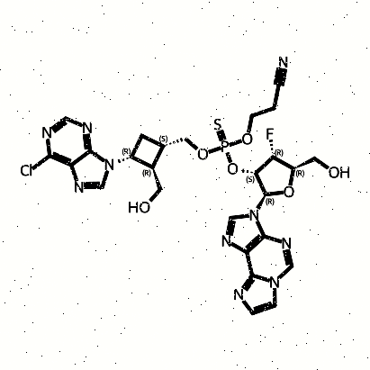 N#CCCOP(=S)(OC[C@H]1C[C@@H](n2cnc3c(Cl)ncnc32)[C@@H]1CO)O[C@@H]1[C@H](F)[C@@H](CO)O[C@H]1n1cnc2c1ncn1ccnc21